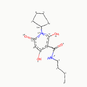 CCCCNC(=O)c1c(O)[c]c(=O)n(C2CCCC2)c1O